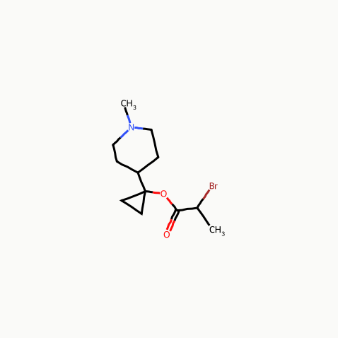 CC(Br)C(=O)OC1(C2CCN(C)CC2)CC1